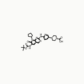 CC(C)(C)OC(=O)Nc1cc2cnc(Nc3ccc(N4CCN(C(=O)O)CC4)cn3)nc2n(C2CCCC2)c1=O